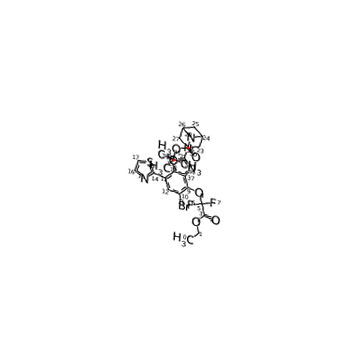 CCOC(=O)C(F)(F)Oc1c(Br)cc(-c2nccs2)c2oc(N3CC4CC(C3)N4C(=O)OC(C)(C)C)nc12